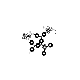 CC1(C)OB(c2ccc(N(c3ccc(F)cc3)c3ccc4c(c3)c3cc(N(c5ccc(F)cc5)c5ccc(B6OC(C)(C)C(C)(C)O6)cc5)ccc3n4-c3nc(-c4ccccc4)nc(-c4ccccc4)n3)cc2)OC1(C)C